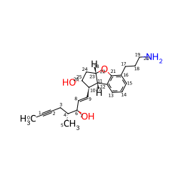 CC#CC[C@@H](C)[C@H](O)/C=C/[C@@H]1[C@H]2c3cccc(CCCN)c3O[C@H]2C[C@H]1O